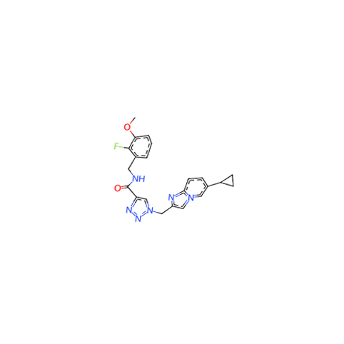 COc1cccc(CNC(=O)c2cn(Cc3cn4cc(C5CC5)ccc4n3)nn2)c1F